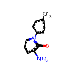 Nc1cccn(-c2ccc(C(F)(F)F)cc2)c1=O